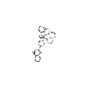 O=P(c1ccc(-c2cnc3ccccc3n2)cc1)(c1cccc2ccccc12)c1cccc2ccccc12